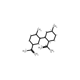 C=C(C)C1CCC(C)C(C2[CH]C(C)CCC2C(=C)C)C1